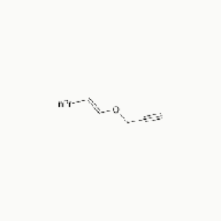 C#CCOC=CCCC